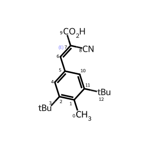 Cc1c(C(C)(C)C)cc(/C=C(\C#N)C(=O)O)cc1C(C)(C)C